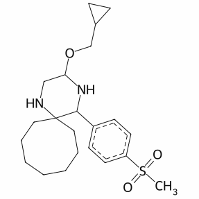 CS(=O)(=O)c1ccc(C2NC(OCC3CC3)CNC23CCCCCCC3)cc1